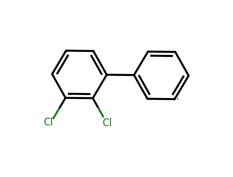 Clc1cccc(-c2c[c]ccc2)c1Cl